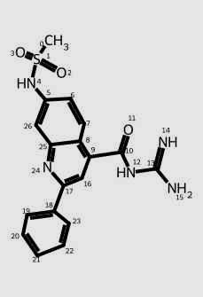 CS(=O)(=O)Nc1ccc2c(C(=O)NC(=N)N)cc(-c3ccccc3)nc2c1